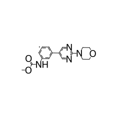 COC(=O)Nc1c[c]cc(-c2cnc(N3CCOCC3)nc2)c1